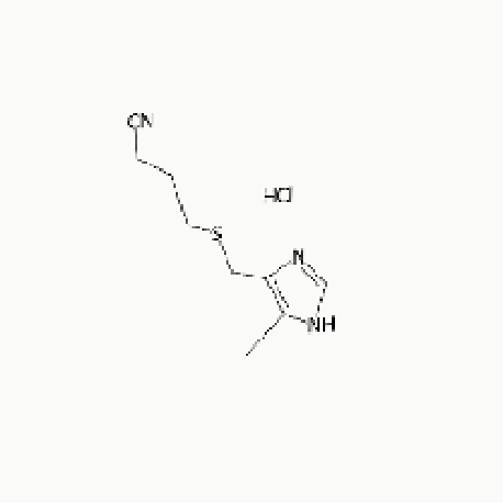 Cc1[nH]cnc1CSCCCC#N.Cl